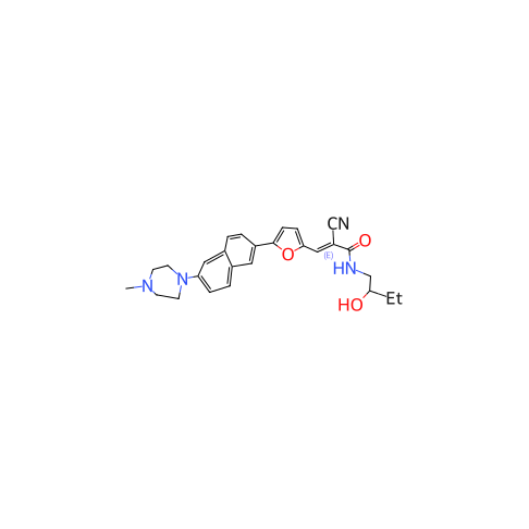 CCC(O)CNC(=O)/C(C#N)=C/c1ccc(-c2ccc3cc(N4CCN(C)CC4)ccc3c2)o1